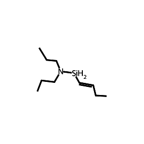 CCC=C[SiH2]N(CCC)CCC